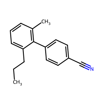 CCCc1cccc(C)c1-c1ccc(C#N)cc1